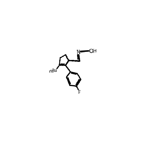 CCCCC1=C(c2ccc(F)cc2)C(C=NO)CC1